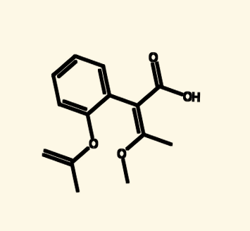 C=C(C)Oc1ccccc1C(C(=O)O)=C(C)OC